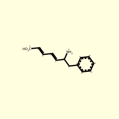 NC(C=CC=CC(=O)O)Cc1ccccc1